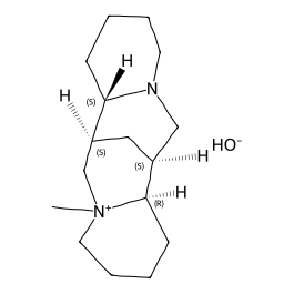 C[N+]12CCCC[C@@H]1[C@H]1C[C@@H](C2)[C@@H]2CCCCN2C1.[OH-]